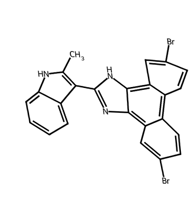 Cc1[nH]c2ccccc2c1-c1nc2c3cc(Br)ccc3c3ccc(Br)cc3c2[nH]1